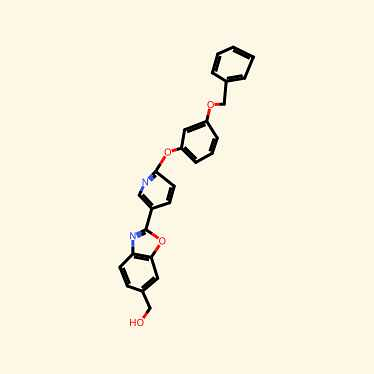 OCc1ccc2nc(-c3ccc(Oc4cccc(OCc5ccccc5)c4)nc3)oc2c1